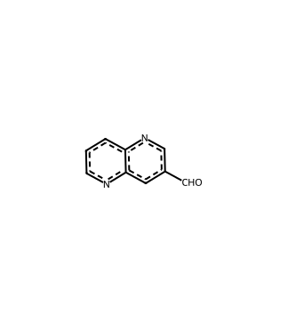 O=Cc1cnc2cccnc2c1